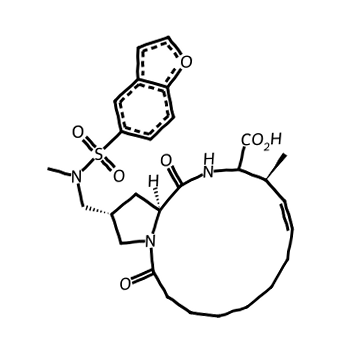 C[C@H]1/C=C\CCCCCCC(=O)N2C[C@H](CN(C)S(=O)(=O)c3ccc4occc4c3)C[C@H]2C(=O)NC1C(=O)O